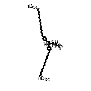 CCCCCCCCCCCCCCCCCCCCCCCCCCc1ccc(C2=CC(CCCCCC)=C(c3ccc(CCCCCCCCCCCCCCCCCCCCCCCCCC)cc3)[N+]2=[N-])cc1.[CH3][Pd][CH3]